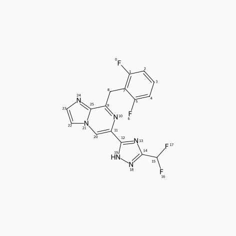 Fc1cccc(F)c1Cc1nc(-c2nc(C(F)F)n[nH]2)cn2ccnc12